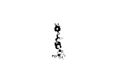 CC(C)(C)OC(=O)N1CC2CC(CN(CC(O)COc3ccc(N)cc3)C2)C1